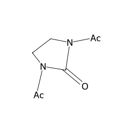 CC(=O)N1CCN(C(C)=O)C1=O